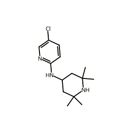 CC1(C)CC(Nc2ccc(Cl)cn2)CC(C)(C)N1